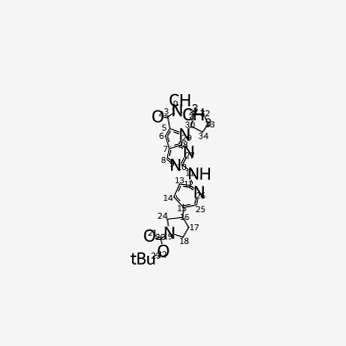 CN(C)C(=O)c1cc2cnc(Nc3ccc(C4CCN(C(=O)OC(C)(C)C)C4)cn3)nc2n1C1CCCC1